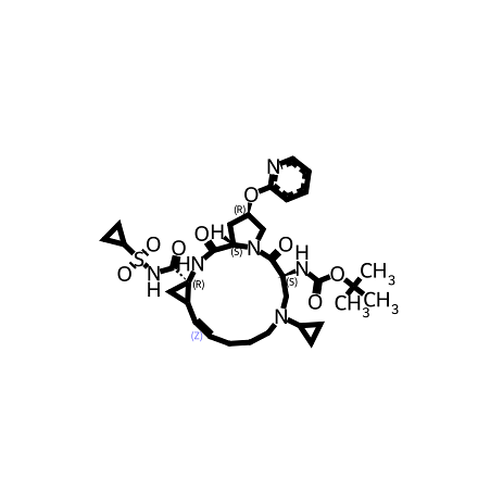 CC(C)(C)OC(=O)N[C@H]1CN(C2CC2)CCC/C=C\C2C[C@@]2(C(=O)NS(=O)(=O)C2CC2)NC(=O)[C@@H]2C[C@@H](Oc3ccccn3)CN2C1=O